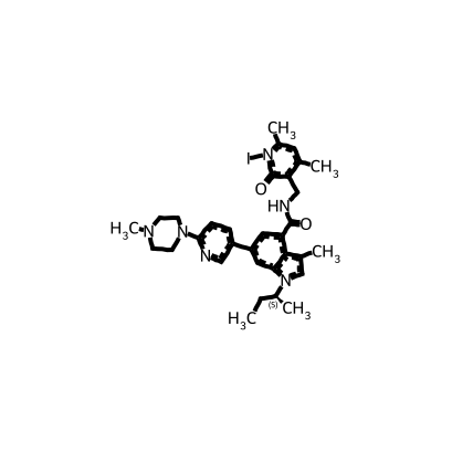 CC[C@H](C)n1cc(C)c2c(C(=O)NCc3c(C)cc(C)n(I)c3=O)cc(-c3ccc(N4CCN(C)CC4)nc3)cc21